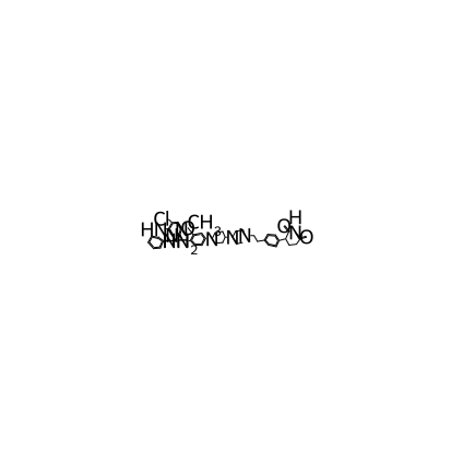 COc1cc(N2CCC(N3CCN(CCc4ccc(C5CCC(=O)NC5=O)cc4)CC3)CC2)ccc1Nc1ncc(Cl)c(Nc2ccccc2N)n1